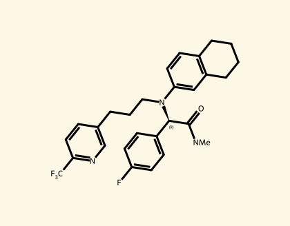 CNC(=O)[C@@H](c1ccc(F)cc1)N(CCCc1ccc(C(F)(F)F)nc1)c1ccc2c(c1)CCCC2